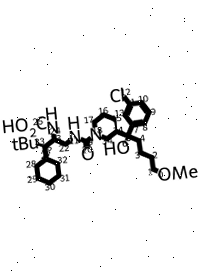 COCCCC[C@@](O)(c1cccc(Cl)c1)[C@@H]1CCCN(C(=O)NCC(NC(=O)O)[C@@H](C2CCCCC2)C(C)(C)C)C1